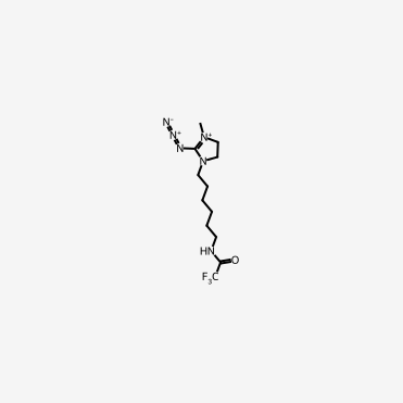 C[N+]1=C(N=[N+]=[N-])N(CCCCCCNC(=O)C(F)(F)F)CC1